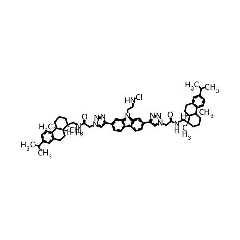 CC(C)c1ccc2c(c1)CC[C@H]1[C@](C)(CNC(=O)Cn3cc(-c4ccc5c6ccc(-c7cn(CC(=O)NC[C@]8(C)CCC[C@]9(C)c%10ccc(C(C)C)cc%10CC[C@@H]89)nn7)cc6n(CCNCl)c5c4)nn3)CCC[C@]21C